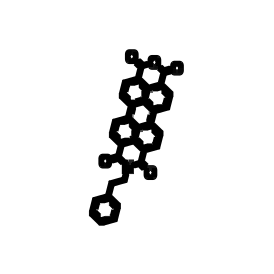 O=C1OC(=O)c2ccc3c4ccc5c6c(ccc(c7ccc1c2c73)c64)C(=O)N(CCc1ccccc1)C5=O